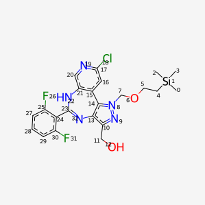 C[Si](C)(C)CCOCn1nc(CO)c2c1-c1cc(Cl)ncc1NC(c1c(F)cccc1F)=N2